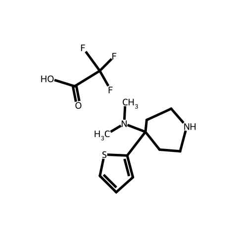 CN(C)C1(c2cccs2)CCNCC1.O=C(O)C(F)(F)F